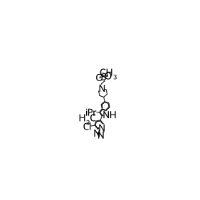 Cc1c(-c2[nH]c3ccc(C4CCN(CCS(C)(=O)=O)CC4)cc3c2C(C)C)cn2cnnc2c1Cl